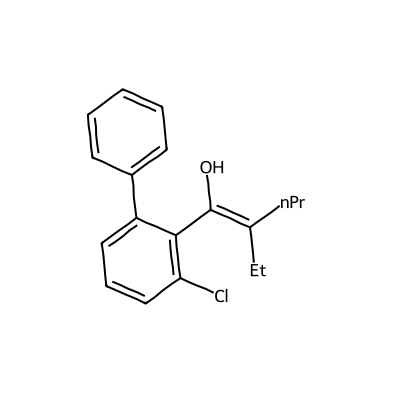 CCC/C(CC)=C(\O)c1c(Cl)cccc1-c1ccccc1